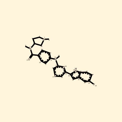 CN1CCC(N(C)C(=O)c2ccc(N(C)c3cncc(-c4cc5cc(F)ccc5[nH]4)n3)cc2)C1